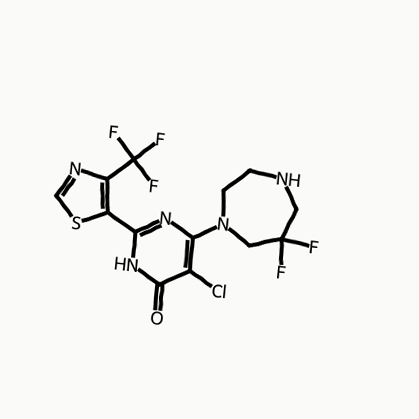 O=c1[nH]c(-c2scnc2C(F)(F)F)nc(N2CCNCC(F)(F)C2)c1Cl